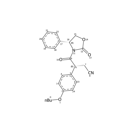 CCCCOc1ccc([C@@H](CC#N)C(=O)N2C(=O)OC[C@H]2c2ccccc2)cc1